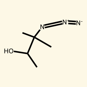 CC(O)C(C)(C)N=[N+]=[N-]